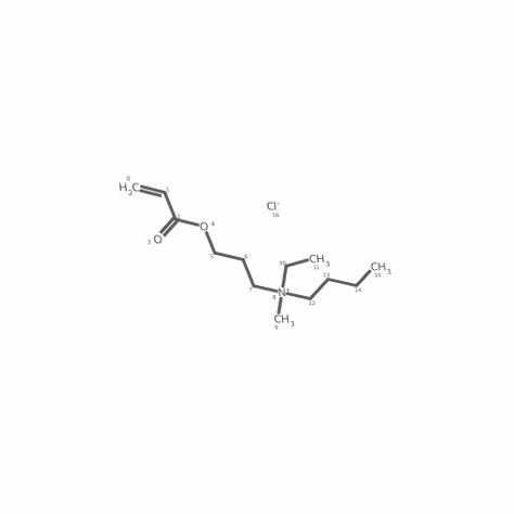 C=CC(=O)OCCC[N+](C)(CC)CCCC.[Cl-]